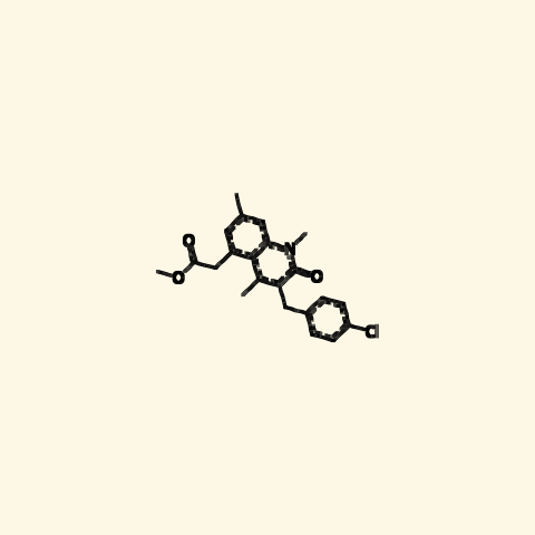 COC(=O)Cc1cc(C)cc2c1c(C)c(Cc1ccc(Cl)cc1)c(=O)n2C